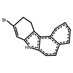 BrC1=Cc2[nH]c3ccc4ccccc4c3c2CC1